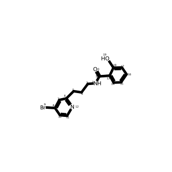 O=C(NCCCc1cc(Br)ccn1)c1ccccc1O